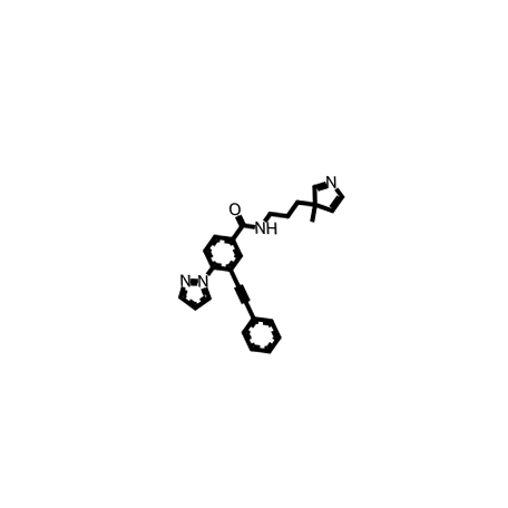 CC1(CCCNC(=O)c2ccc(-n3cccn3)c(C#Cc3ccccc3)c2)C=CN=C1